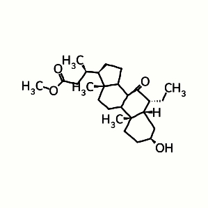 CC[C@H]1C(=O)C2C3CC[C@H]([C@H](C)CC(=O)OC)[C@@]3(C)CCC2[C@@]2(C)CC[C@H](O)C[C@@H]12